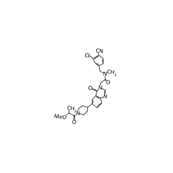 COC(C)C(=O)N1CCC(c2ccc3ncn(CC(=O)N(C)Cc4ccc(C#N)c(Cl)c4)c(=O)c3c2)CC1